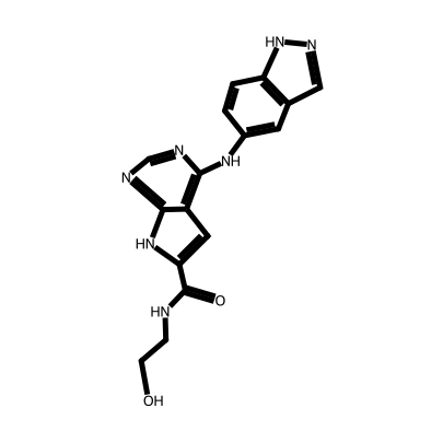 O=C(NCCO)c1cc2c(Nc3ccc4[nH]ncc4c3)ncnc2[nH]1